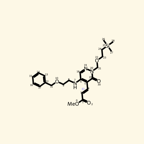 COC(=O)/C=C/c1c(NCCOCc2ccccc2)cnn(COCC[Si](C)(C)C)c1=O